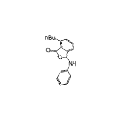 CCCCc1cccc2c1C(=O)OC2Nc1ccccc1